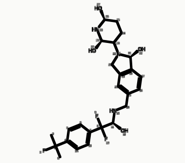 CC(C)(F)c1ccc(C(F)(F)[C@H](O)NCc2ccc3c(c2)CN(C2CC[C@H](O)N[C@@H]2O)[C@H]3O)cc1